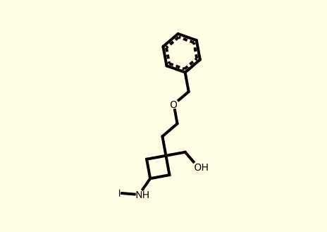 OCC1(CCOCc2ccccc2)CC(NI)C1